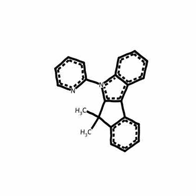 CC1(C)c2ccccc2-c2c1n(-c1ccccn1)c1ccccc21